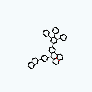 c1ccc(-c2cc(-c3cc(-c4ccccc4)c(-c4ccccc4)c(-c4ccccc4)c3)ccc2N(c2ccccc2)c2ccc(-c3ccc4ccccc4c3)cc2)cc1